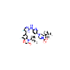 CC(C)N1C(=O)COc2c(F)cc(-c3nc(Nc4ccc(N5CCN(C(=O)O)C(C(C)(C)C)C5)cn4)ncc3F)cc21